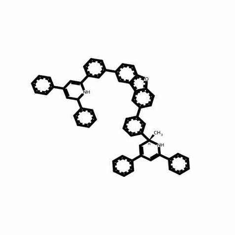 C[C@]1(c2cccc(-c3ccc4oc5ccc(-c6cccc(C7=CC(c8ccccc8)=CC(c8ccccc8)N7)c6)cc5c4c3)c2)C=C(c2ccccc2)C=C(c2ccccc2)N1